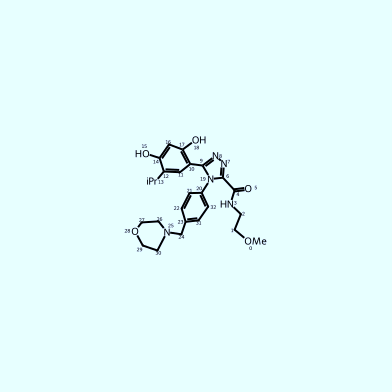 COCCNC(=O)c1nnc(-c2cc(C(C)C)c(O)cc2O)n1-c1ccc(CN2CCOCC2)cc1